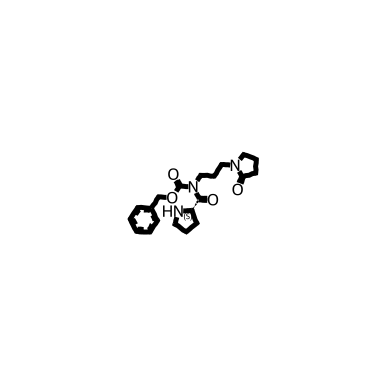 O=C1CCCN1CCCN(C(=O)OCc1ccccc1)C(=O)[C@@H]1CCCN1